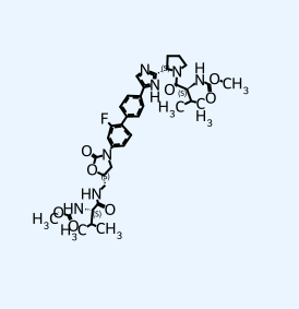 COC(=O)N[C@H](C(=O)NC[C@H]1CN(c2ccc(-c3ccc(-c4cnc([C@@H]5CCCN5C(=O)[C@@H](NC(=O)OC)C(C)C)[nH]4)cc3)c(F)c2)C(=O)O1)C(C)C